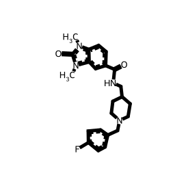 Cn1c(=O)n(C)c2cc(C(=O)NCC3CCN(Cc4ccc(F)cc4)CC3)ccc21